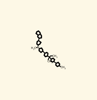 CCC(CC)(c1ccc(-c2ccc(C)cc2)cc1)c1ccc(-c2ccc(N(C)c3ccc(-c4ccc5ccccc5c4)cc3)cc2)cc1